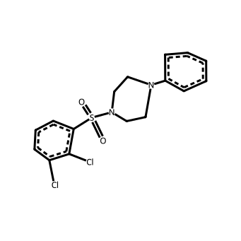 O=S(=O)(c1cccc(Cl)c1Cl)N1CCN(c2ccccc2)CC1